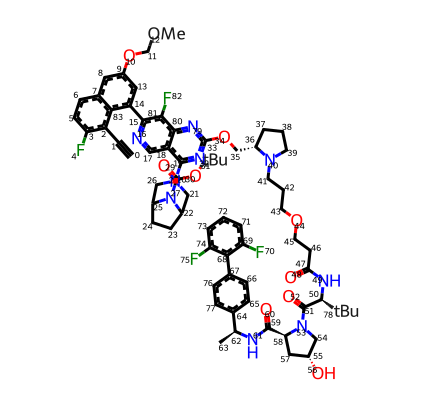 C#Cc1c(F)ccc2cc(OCOC)cc(-c3ncc4c(N5CC6CCC(C5)N6C(=O)OC(C)(C)C)nc(OC[C@@H]5CCCN5CCCOCCC(=O)N[C@H](C(=O)N5C[C@H](O)C[C@H]5C(=O)N[C@@H](C)c5ccc(-c6c(F)cccc6F)cc5)C(C)(C)C)nc4c3F)c12